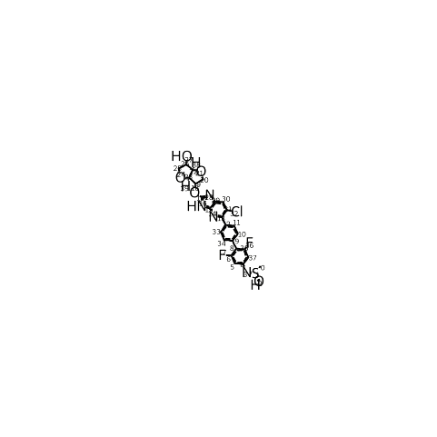 C/[SH](=O)=N\c1cc(F)c(-c2ccc(-c3nc4[nH]c(O[C@@H]5CO[C@H]6[C@@H]5OC[C@H]6O)nc4cc3Cl)cc2)c(F)c1